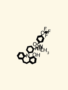 CN=S(=O)(N[C@@H]1CCC[C@H](N2c3ccccc3CCc3ccccc32)[C@@H]1O)c1ccc(OC(F)(F)F)cc1